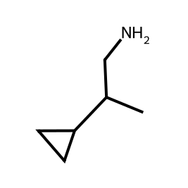 CC(CN)C1CC1